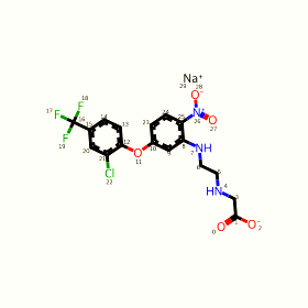 O=C([O-])CNCCNc1cc(Oc2ccc(C(F)(F)F)cc2Cl)ccc1[N+](=O)[O-].[Na+]